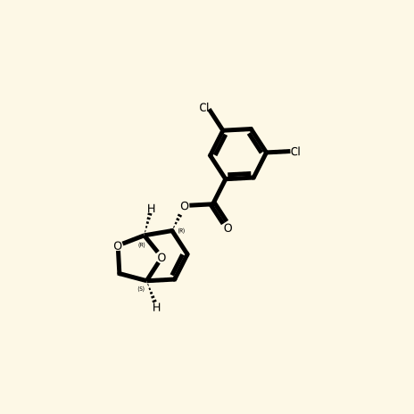 O=C(O[C@@H]1C=C[C@H]2CO[C@@H]1O2)c1cc(Cl)cc(Cl)c1